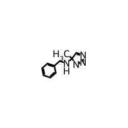 CC1(NCc2ccccc2)C=NN=N1